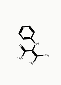 CC(=O)C(Nc1ccccc1)=C(C)C